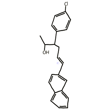 CC(O)C(C/C=C/c1ccc2ccccc2c1)c1ccc(Cl)cc1